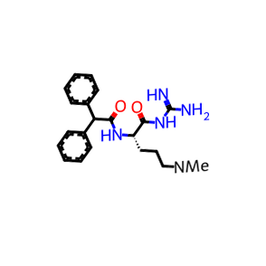 CNCCC[C@H](NC(=O)C(c1ccccc1)c1ccccc1)C(=O)NC(=N)N